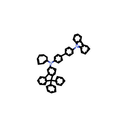 C1=CC=C(N(c2ccc(-c3ccc(-n4c5ccccc5c5ccccc54)cc3)cc2)c2ccc3c(c2)-c2ccccc2C3(c2ccccc2)c2ccccc2)CC=C1